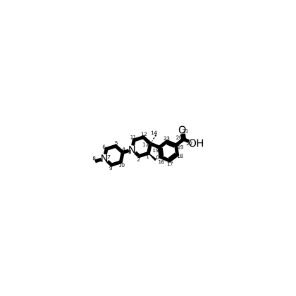 C[C@H]1CN(C2CCN(C)CC2)CC[C@@]1(C)c1cccc(C(=O)O)c1